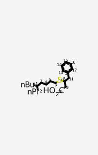 CCCCC(CCC)CCCCSC(CC(=O)O)Cc1ccccc1